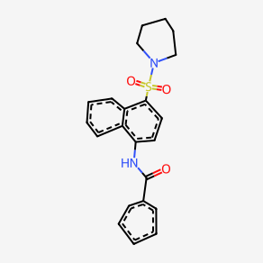 O=C(Nc1ccc(S(=O)(=O)N2CCCCC2)c2ccccc12)c1ccccc1